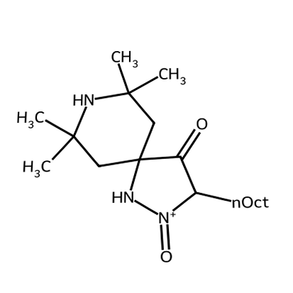 CCCCCCCCC1C(=O)C2(CC(C)(C)NC(C)(C)C2)N[N+]1=O